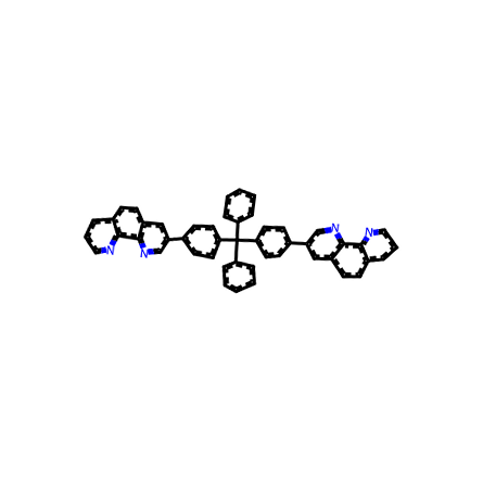 c1ccc(C(c2ccccc2)(c2ccc(-c3cnc4c(ccc5cccnc54)c3)cc2)c2ccc(-c3cnc4c(ccc5cccnc54)c3)cc2)cc1